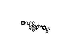 CC1(C)[C@H](C(=O)OCc2ccc([N+](=O)[O-])cc2)N2C(=O)[C@@H](NC(=O)COc3ccccc3)[C@H]2[S+]1[O-]